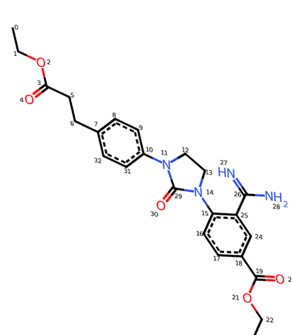 CCOC(=O)CCc1ccc(N2CCN(c3ccc(C(=O)OCC)cc3C(=N)N)C2=O)cc1